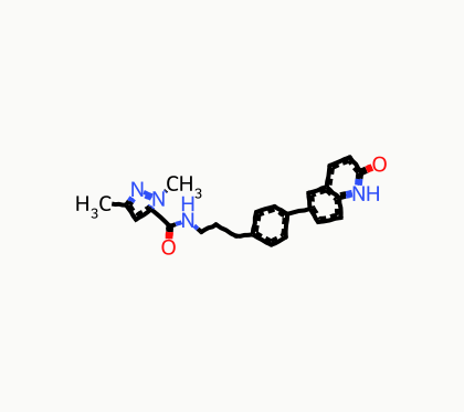 Cc1cc(C(=O)NCCCc2ccc(-c3ccc4[nH]c(=O)ccc4c3)cc2)n(C)n1